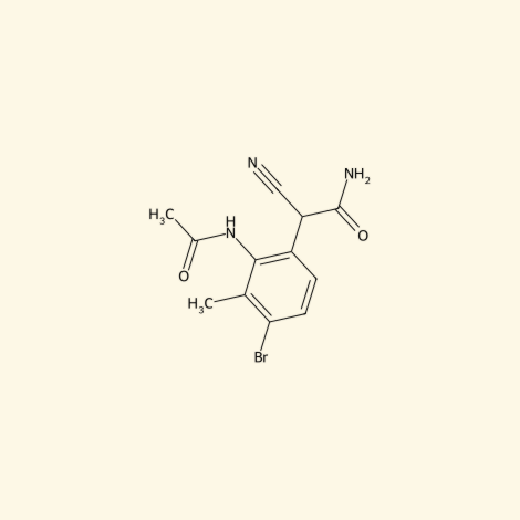 CC(=O)Nc1c(C(C#N)C(N)=O)ccc(Br)c1C